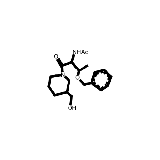 CC(=O)NC(C(=O)N1CCCC(CO)C1)C(C)OCc1ccccc1